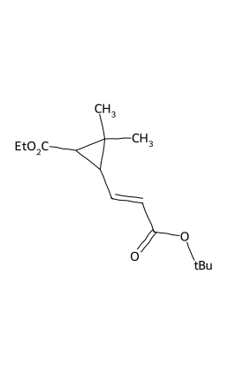 CCOC(=O)C1C(/C=C/C(=O)OC(C)(C)C)C1(C)C